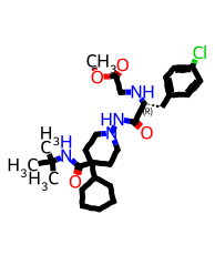 COC(=O)CN[C@H](Cc1ccc(Cl)cc1)C(=O)NN1CCC(C(=O)NC(C)(C)C)(C2CCCCC2)CC1